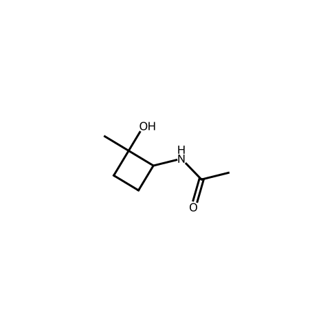 CC(=O)NC1CCC1(C)O